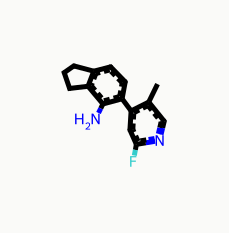 Cc1cnc(F)cc1-c1ccc2c(c1N)CCC2